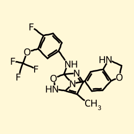 CC1=C2NOC(Nc3ccc(F)c(OC(F)(F)F)c3)(N=C1)N2c1ccc2c(c1)NCO2